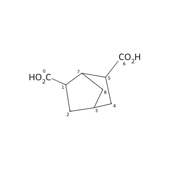 O=C(O)C1CC2CC(C(=O)O)C1C2